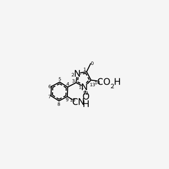 Cc1nc(-c2ccccc2C#N)n(O)c1C(=O)O